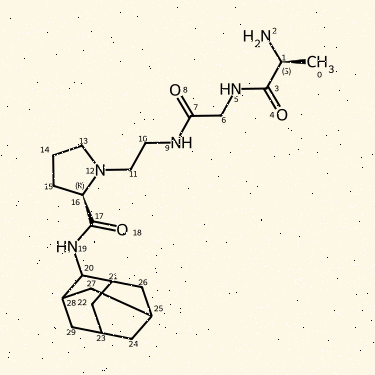 C[C@H](N)C(=O)NCC(=O)NCCN1CCC[C@@H]1C(=O)NC1C2CC3CC(C2)CC1C3